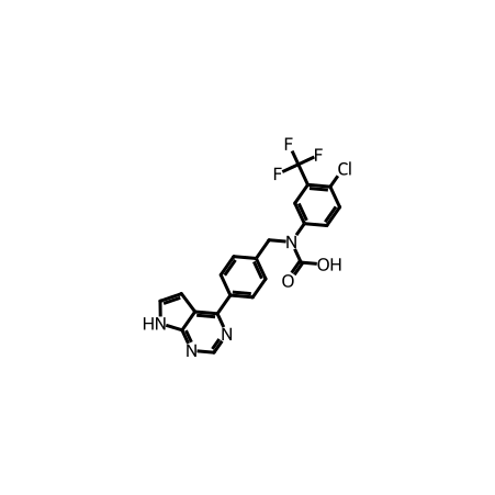 O=C(O)N(Cc1ccc(-c2ncnc3[nH]ccc23)cc1)c1ccc(Cl)c(C(F)(F)F)c1